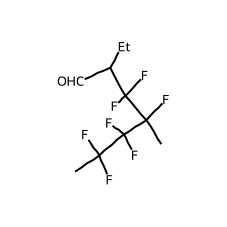 CCC(C=O)C(F)(F)C(C)(F)C(F)(F)C(C)(F)F